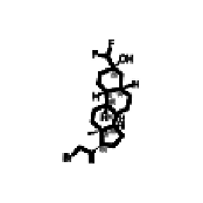 C=C(CBr)[C@H]1CC[C@H]2[C@@H]3CC[C@H]4C[C@](O)(C(F)F)CC[C@@H]4[C@H]3CC[C@]12C